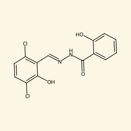 O=C(N/N=C/c1c(Cl)ccc(Cl)c1O)c1ccccc1O